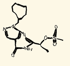 C[C@H](OS(C)(=O)=O)c1nc2c(cnn2C2CCCC2)c(=O)[nH]1